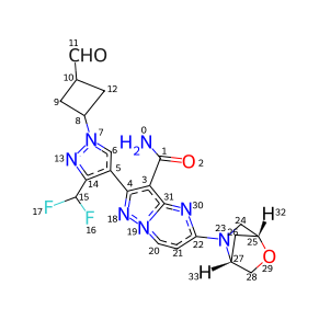 NC(=O)c1c(-c2cn(C3CC(C=O)C3)nc2C(F)F)nn2ccc(N3C[C@H]4C[C@@H]3CO4)nc12